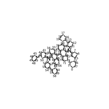 c1ccc(-c2cccc(N(c3cccc(-c4ccccc4)c3)c3c4ccccc4c(-c4c5ccccc5c(N(c5cccc(-c6ccccc6)c5)c5cccc(-c6ccccc6)c5)c5ccccc45)c4ccccc34)c2)cc1